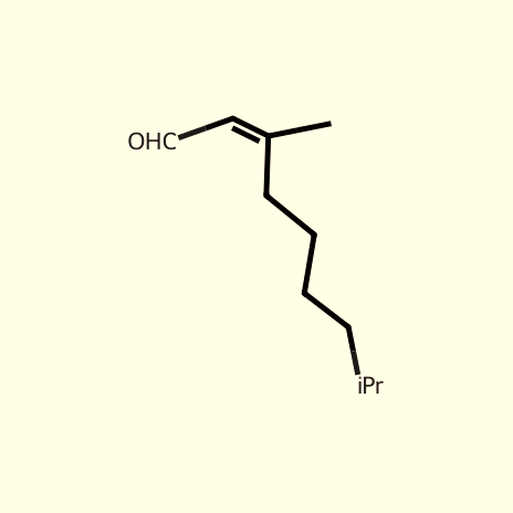 CC(=CC=O)CCCCC(C)C